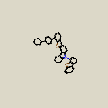 C1=CCC(c2ccc(-c3cccc4c3sc3c4ccc4c3c3ccccc3n4-c3cccc4c3sc3ccccc34)cc2)C=C1